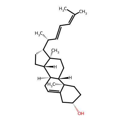 CC(C)=C/C=C/[C@@H](C)[C@H]1CC[C@H]2[C@@H]3CC=C4C[C@@H](O)CC[C@]4(C)[C@H]3CC[C@]12C